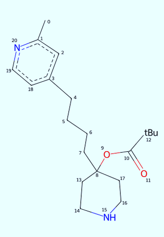 Cc1cc(CCCCC2(OC(=O)C(C)(C)C)CCNCC2)ccn1